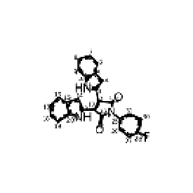 O=C1C(c2cc3ccccc3[nH]2)=C(c2cc3ccccc3[nH]2)C(=O)N1c1ccc(F)cc1